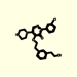 O=c1c(OCCc2cccc(CCO)c2)c(N2CCNCC2)cnn1-c1cccc(Cl)c1